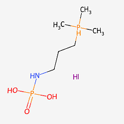 C[PH](C)(C)CCCNP(=O)(O)O.I